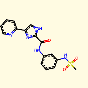 CS(=O)(=O)Nc1cccc(NC(=O)c2nc(-c3ccccn3)c[nH]2)c1